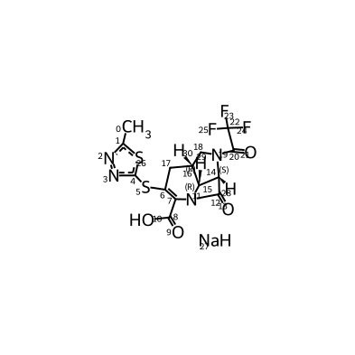 Cc1nnc(SC2=C(C(=O)O)N3C(=O)[C@@H]4[C@H]3[C@H](C2)CN4C(=O)C(F)(F)F)s1.[NaH]